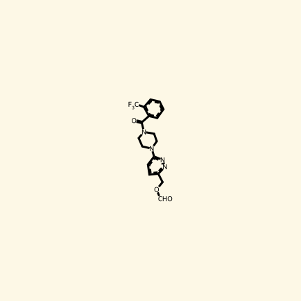 O=COCc1ccc(N2CCN(C(=O)c3ccccc3C(F)(F)F)CC2)nn1